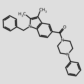 Cc1c(C)n(Cc2ccccc2)c2ccc(C(=O)N3CCN(c4ccccc4)CC3)cc12